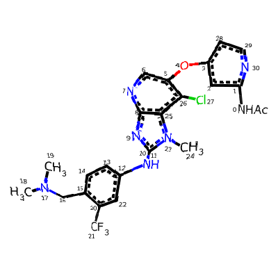 CC(=O)Nc1cc(Oc2cnc3nc(Nc4ccc(CN(C)C)c(C(F)(F)F)c4)n(C)c3c2Cl)ccn1